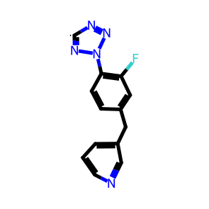 Fc1cc(Cc2cccnc2)ccc1-n1n[c]nn1